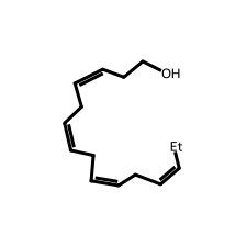 CC/C=C\C/C=C\C/C=C\C/C=C\CCO